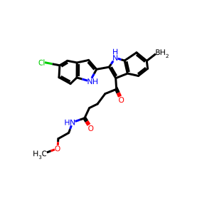 Bc1ccc2c(C(=O)CCCC(=O)NCCOC)c(-c3cc4cc(Cl)ccc4[nH]3)[nH]c2c1